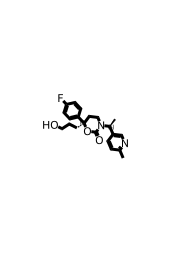 Cc1ccc([C@H](C)N2CC[C@](CCCO)(c3ccc(F)cc3)OC2=O)cn1